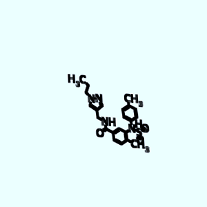 CCCn1cc(CNC(=O)c2ccc(C)c(N(c3ccc(C)cc3)[SH](=O)=O)c2)cn1